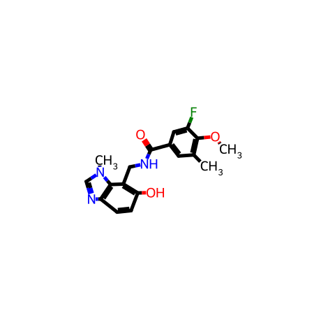 COc1c(C)cc(C(=O)NCc2c(O)ccc3ncn(C)c23)cc1F